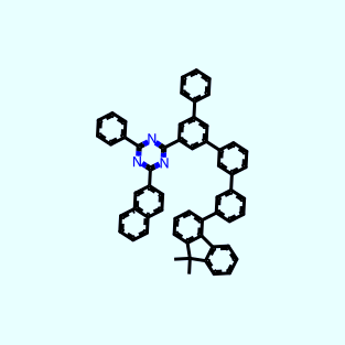 CC1(C)c2ccccc2-c2c(-c3cccc(-c4cccc(-c5cc(-c6ccccc6)cc(-c6nc(-c7ccccc7)nc(-c7ccc8ccccc8c7)n6)c5)c4)c3)cccc21